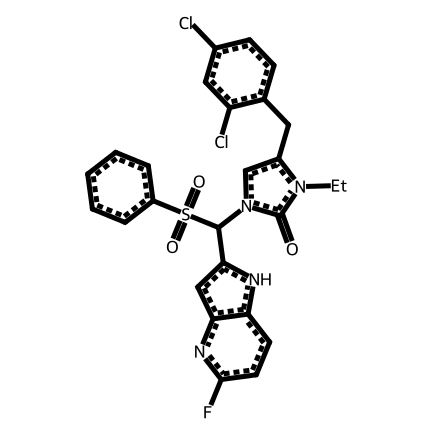 CCn1c(Cc2ccc(Cl)cc2Cl)cn(C(c2cc3nc(F)ccc3[nH]2)S(=O)(=O)c2ccccc2)c1=O